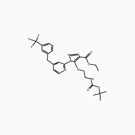 CCOC(=O)c1cnn(-c2cc(Cc3cccc(C(F)(F)F)c3)ccn2)c1OCCNC(=O)OC(C)(C)C